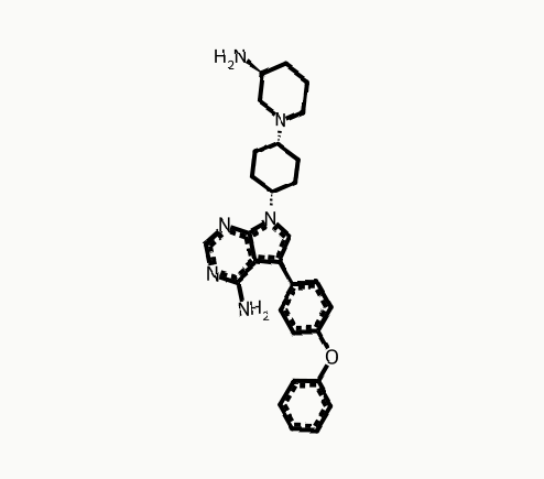 Nc1ncnc2c1c(-c1ccc(Oc3ccccc3)cc1)cn2[C@H]1CC[C@@H](N2CCC[C@H](N)C2)CC1